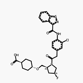 O=C(Nc1ccc(CC(=O)N2C[C@@H](F)C[C@H]2CO[C@H]2CC[C@H](C(=O)O)CC2)cc1Cl)c1nsc2ccccc12